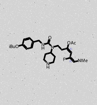 CN/C=C(F)\C=C(/CCN(C(=O)NCc1ccc(OCC(C)C)cc1)C1CCNCC1)OC(C)=O